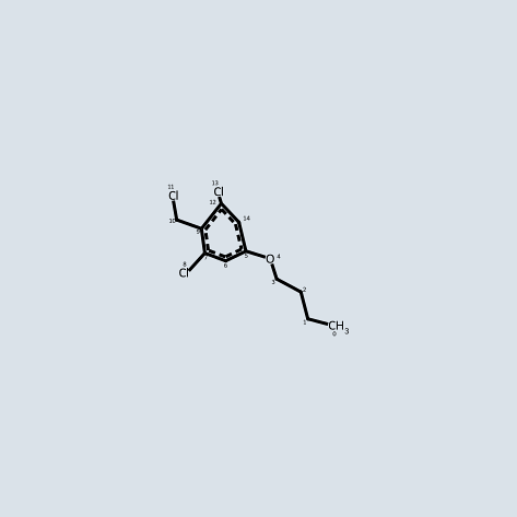 CCCCOc1cc(Cl)c(CCl)c(Cl)c1